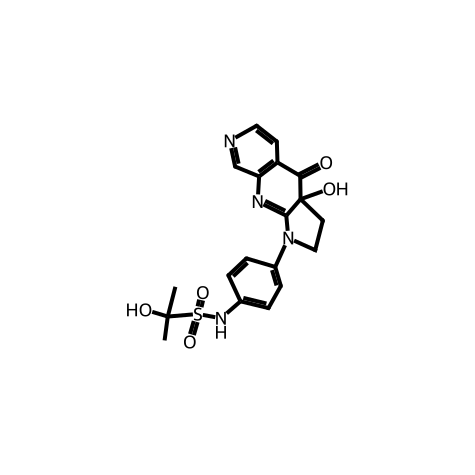 CC(C)(O)S(=O)(=O)Nc1ccc(N2CCC3(O)C(=O)c4ccncc4N=C23)cc1